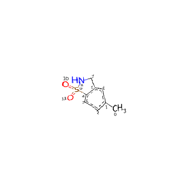 Cc1ccc2c(c1)CNS2(=O)=O